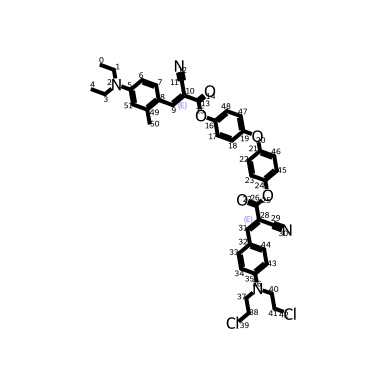 CCN(CC)c1ccc(/C=C(\C#N)C(=O)Oc2ccc(Oc3ccc(OC(=O)/C(C#N)=C/c4ccc(N(CCCl)CCCl)cc4)cc3)cc2)c(C)c1